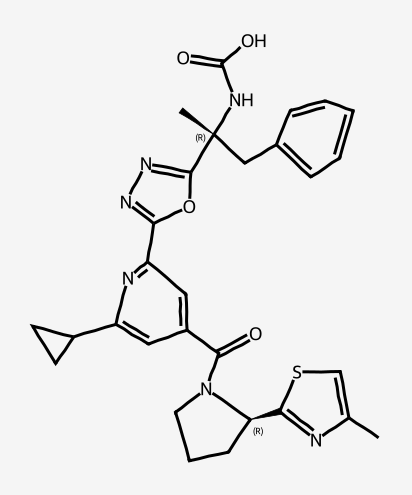 Cc1csc([C@H]2CCCN2C(=O)c2cc(-c3nnc([C@@](C)(Cc4ccccc4)NC(=O)O)o3)nc(C3CC3)c2)n1